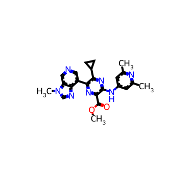 COC(=O)c1nc(-c2cncc3c2ncn3C)c(C2CC2)nc1Nc1cc(C)nc(C)c1